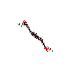 C=CC(=O)OCCCCCCCCOc1ccc(-c2ccc(OC(=O)c3ccc(OCCCCCCCCCC4CC(=C)C(=O)O4)cc3)cc2)cc1